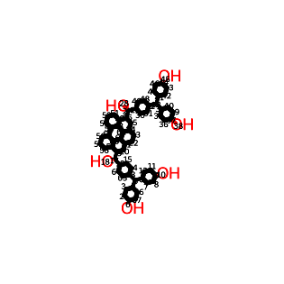 Oc1ccc(C(c2ccc(O)cc2)c2ccc(C(O)c3cc4ccc5cc(C(O)c6ccc(C(c7ccc(O)cc7)c7ccc(O)cc7)cc6)c6cccc7c8cccc3c8c4c5c67)cc2)cc1